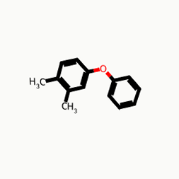 Cc1ccc(Oc2c[c]ccc2)cc1C